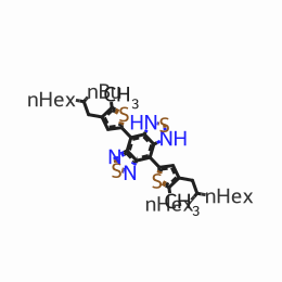 CCCCCCC(CCCC)Cc1cc(-c2c3c(c(-c4cc(CC(CCCCCC)CCCCCC)c(C)s4)c4nsnc24)NSN3)sc1C